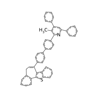 Cc1c(-c2ccccc2)cc(-c2ccccc2)nc1-c1ccc(-c2ccc(C3=CCc4ccccc4-c4sc5ccccc5c43)cc2)cc1